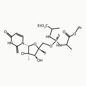 C=C1NC(=O)C=CN1[C@@H]1O[C@](F)(COP(=S)(NC(C)C(=O)OCC)NC(C)C(=O)OC(C)C)[C@@H](O)[C@@]1(C)Cl